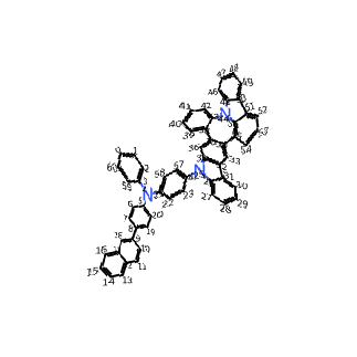 c1ccc(N(c2ccc(-c3ccc4ccccc4c3)cc2)c2ccc(-n3c4ccccc4c4cc5c(cc43)-c3ccccc3-n3c4ccccc4c4cccc-5c43)cc2)cc1